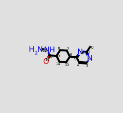 Cc1nccc(C2CCC(C(=O)NN)CC2)n1